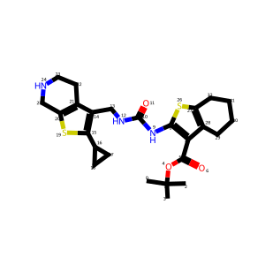 CC(C)(C)OC(=O)c1c(NC(=O)NCc2c(C3CC3)sc3c2CCNC3)sc2c1CCCC2